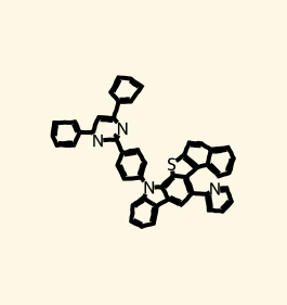 c1ccc(-c2cc(-c3ccccc3)nc(-c3ccc(-n4c5ccccc5c5cc(-c6ccccn6)c6c(sc7ccc8ccccc8c76)c54)cc3)n2)cc1